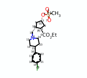 CCOC(=O)[C@@H]1C[C@@H](OS(C)(=O)=O)C[C@H]1CN1CCC(c2ccc(F)cc2)CC1